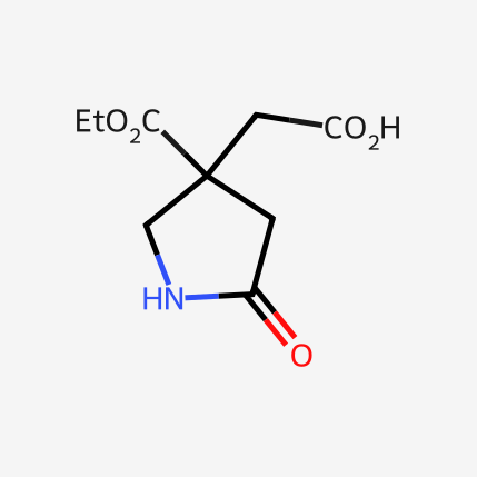 CCOC(=O)C1(CC(=O)O)CNC(=O)C1